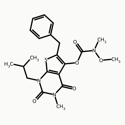 CON(C)C(=O)Oc1c(Cc2ccccc2)sc2c1c(=O)n(C)c(=O)n2CC(C)C